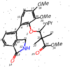 CCCC(Oc1c(-c2cccc3c2CNC3=O)ccc(OC)c1OC)C(C)(C)C(=O)OC